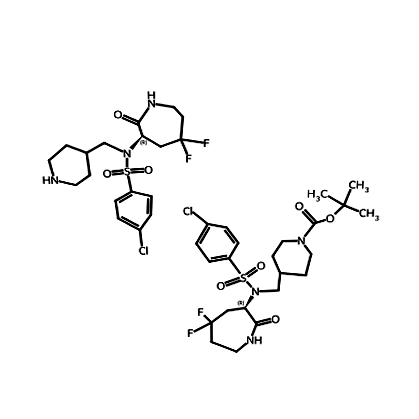 CC(C)(C)OC(=O)N1CCC(CN([C@@H]2CC(F)(F)CCNC2=O)S(=O)(=O)c2ccc(Cl)cc2)CC1.O=C1NCCC(F)(F)C[C@H]1N(CC1CCNCC1)S(=O)(=O)c1ccc(Cl)cc1